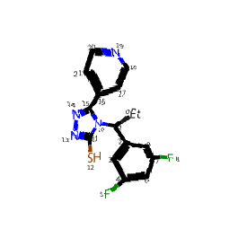 CCC(c1cc(F)cc(F)c1)n1c(S)nnc1-c1ccncc1